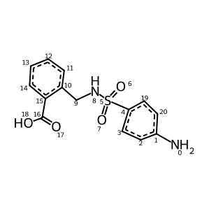 Nc1ccc(S(=O)(=O)NCc2ccccc2C(=O)O)cc1